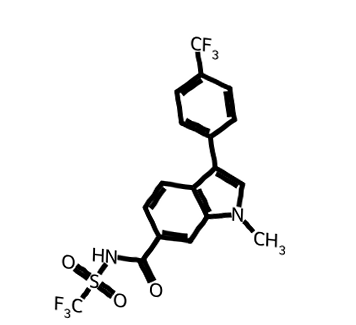 Cn1cc(-c2ccc(C(F)(F)F)cc2)c2ccc(C(=O)NS(=O)(=O)C(F)(F)F)cc21